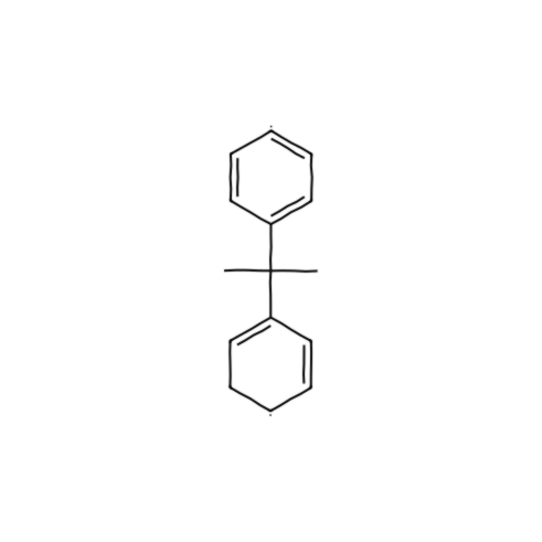 CC(C)(C1=CC[CH]C=C1)c1cc[c]cc1